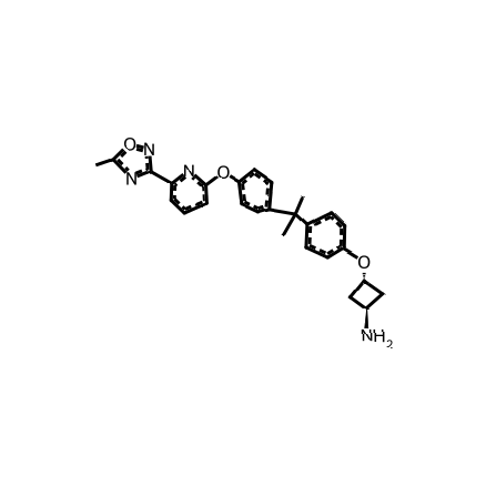 Cc1nc(-c2cccc(Oc3ccc(C(C)(C)c4ccc(O[C@H]5C[C@H](N)C5)cc4)cc3)n2)no1